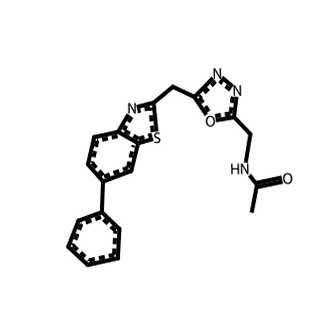 CC(=O)NCc1nnc(Cc2nc3ccc(-c4ccccc4)cc3s2)o1